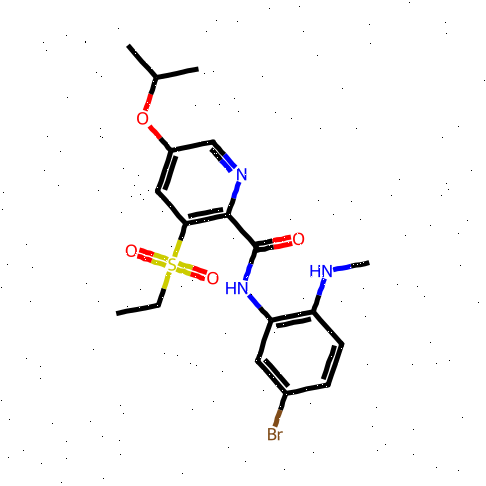 CCS(=O)(=O)c1cc(OC(C)C)cnc1C(=O)Nc1cc(Br)ccc1NC